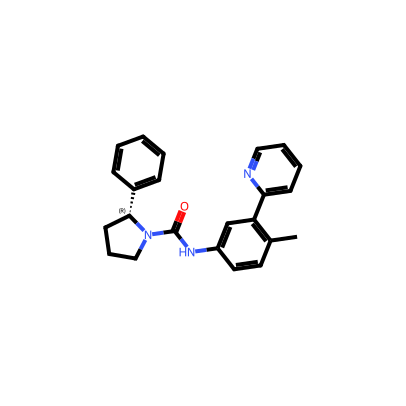 Cc1ccc(NC(=O)N2CCC[C@@H]2c2ccccc2)cc1-c1ccccn1